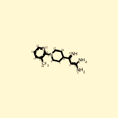 N=C(C=C(N)N)C1CCN(c2ncccc2C(F)(F)F)CC1